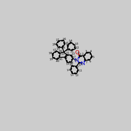 O=c1c2ccccc2nc(-c2ccccc2)n1-c1ccc2c(c1)C(c1ccccc1)(c1ccccc1)c1ccccc1-2